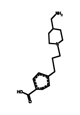 NCC1CCN(CCCc2ccc(C(=O)O)cc2)CC1